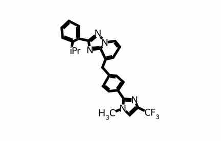 CC(C)c1ccccc1-c1nc2c(Cc3ccc(-c4nc(C(F)(F)F)cn4C)cc3)cccn2n1